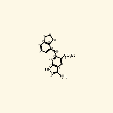 CCOC(=O)c1cc2c(N)n[nH]c2nc1Nc1cccc2c1CCC2